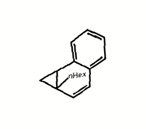 CCCCCCC12C=Cc3ccccc3C1C2